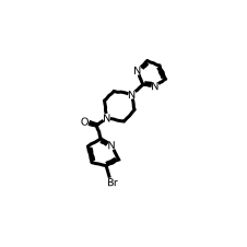 O=C(c1ccc(Br)cn1)N1CCN(c2ncccn2)CC1